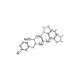 COC(O)C(Cc1cccc(Br)c1)NC(=O)Nc1c2c(cc3c1CCC3)CCC2